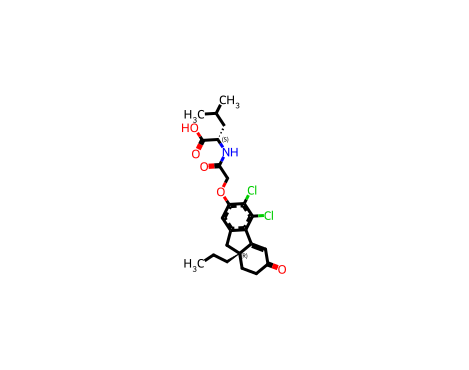 CCC[C@]12CCC(=O)C=C1c1c(cc(OCC(=O)N[C@@H](CC(C)C)C(=O)O)c(Cl)c1Cl)C2